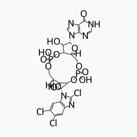 O=c1[nH]cnc2c1ncn2[C@@H]1O[C@@H]2COP(=O)(O)OC3C(O)[C@@H](COP(=O)(O)OC2C1O)O[C@H]3n1c(Cl)nc2cc(Cl)c(Cl)cc21